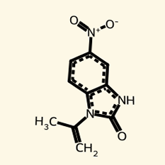 C=C(C)n1c(=O)[nH]c2cc([N+](=O)[O-])ccc21